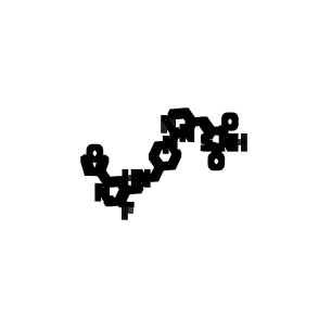 O=C1NC(=O)C(=Cc2ccnc(N3CCC(CNCc4cc(-c5ccoc5)ncc4F)CC3)n2)S1